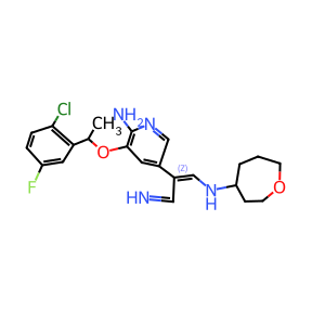 CC(Oc1cc(/C(C=N)=C/NC2CCCOCC2)cnc1N)c1cc(F)ccc1Cl